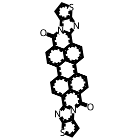 O=c1c2ccc3c4ccc5c6c(ccc(c7ccc(c2c37)c2nc3sccc3n12)c46)c(=O)n1c2ccsc2nc51